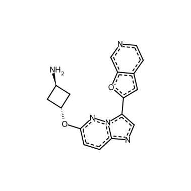 N[C@H]1C[C@H](Oc2ccc3ncc(-c4cc5ccncc5o4)n3n2)C1